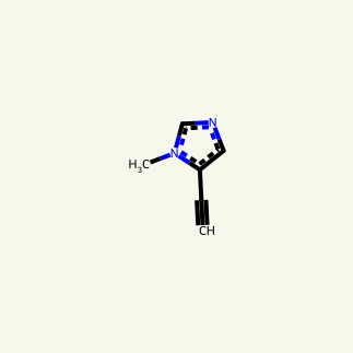 C#Cc1cncn1C